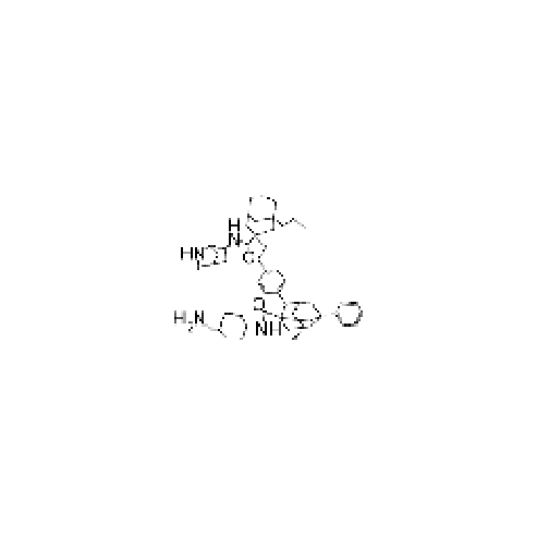 CCC[C@@]12CCCC(CC(CCc3ccc(C4C5C[C@@]6(C)CC4(C(=O)N[C@H]4CC[C@@H](CN)CC4)C[C@@](c4ccccc4)(C5)C6)cc3)(C(=O)NC3CC4CNC3C4)C1)C2